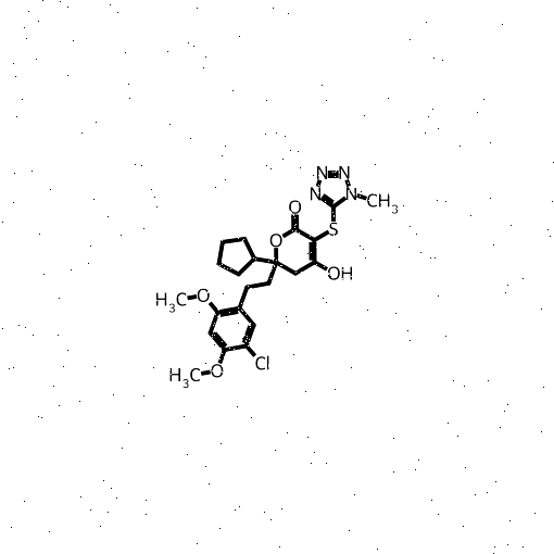 COc1cc(OC)c(CCC2(C3CCCC3)CC(O)=C(Sc3nnnn3C)C(=O)O2)cc1Cl